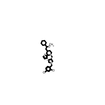 COC(CC1CCN(C[C@H]2CN(Cc3ccc(Cl)cc3Cl)C[C@@H]2c2ccsc2)CC1)C1CCCCC1